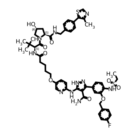 CCS(=O)(=O)Nc1ccc(-c2n[nH]c(Nc3ccc(OCCCCC(=O)N[C@H](C(=O)N4C[C@H](O)C[C@H]4C(=O)NCc4ccc(-c5scnc5C)cc4)C(C)(C)C)cn3)c2C(N)=O)cc1OCc1ccc(F)cc1